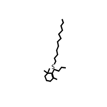 CCCCCCCCCCCCSC(CCC)C1=C(C)CCCC1(C)C